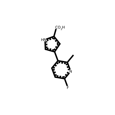 Cc1nc(F)ccc1-c1c[nH]c(C(=O)O)c1